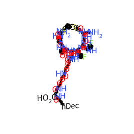 CCCCCCCCCCCCCCCC(=O)N[C@@H](CCC(=O)NCCOCCOCC(=O)NCCOCCOCC(=O)NCCCC[C@@H]1NC(=O)[C@H](Cc2c[nH]c3ccc(F)cc23)NC(=O)[C@H](CCc2c[nH]c3ccc(F)cc23)NC(=O)[C@@H](C)NC(=O)[C@H](CCCCN)NC(=O)CCSCc2cccc(c2)CSC[C@@H](C(N)=O)NC(=O)[C@]2(C)CCCN2C(=O)[C@H](Cc2ccc(O)cc2)NC(=O)[C@H]([C@@H](C)O)NC1=O)C(=O)O